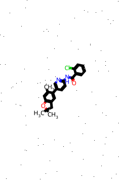 Cc1cc2c(cc1-c1ccc(NC(=O)c3ccccc3Cl)nc1)CC(C)(C)O2